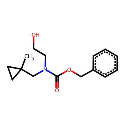 CC1(CN(CCO)C(=O)OCc2ccccc2)CC1